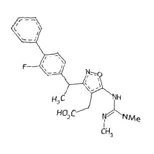 CN=C(NC)Nc1onc(C(C)c2ccc(-c3ccccc3)c(F)c2)c1CC(=O)O